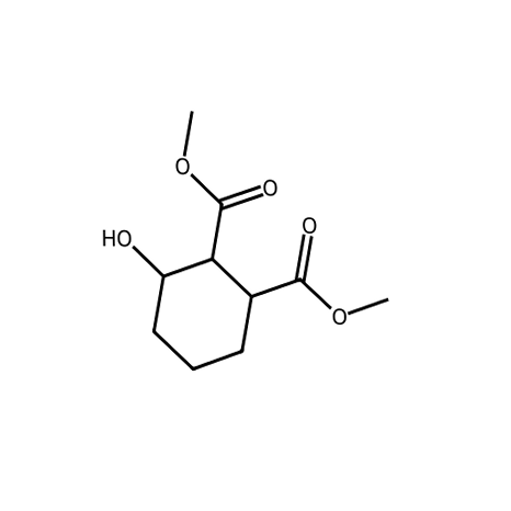 COC(=O)C1CCCC(O)C1C(=O)OC